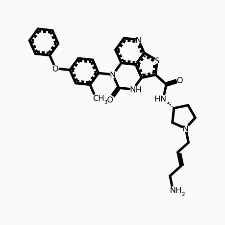 Cc1cc(Oc2ccccc2)ccc1N1C(=O)Nc2c(C(=O)N[C@@H]3CCN(C/C=C/CN)C3)sc3nccc1c23